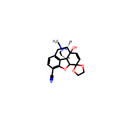 CN1CC[C@@]23c4c5ccc(C#N)c4OC2C2(C=CC3(O)[C@@H]1C5)OCCO2